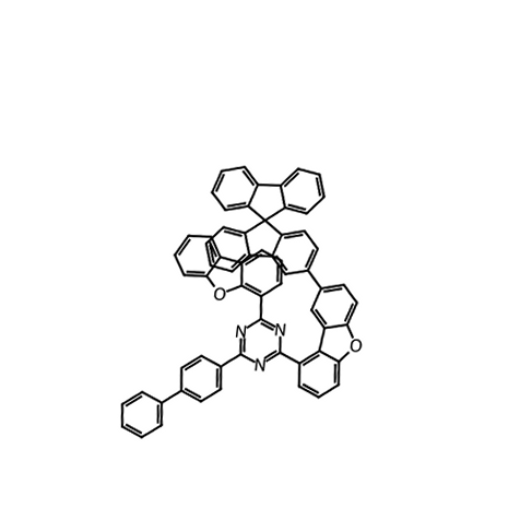 c1ccc(-c2ccc(-c3nc(-c4cccc5c4oc4ccccc45)nc(-c4cccc5oc6ccc(-c7ccc8c(c7)-c7ccccc7C87c8ccccc8-c8ccccc87)cc6c45)n3)cc2)cc1